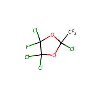 FC(F)(F)C1(Cl)OC(F)(Cl)C(Cl)(Cl)O1